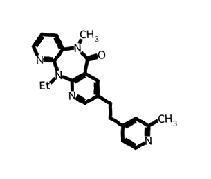 CCN1c2ncc(CCc3ccnc(C)c3)cc2C(=O)N(C)c2cccnc21